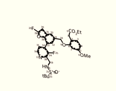 CCOC(=O)Cc1ccc(OC)cc1OCc1cc(-c2ccnc(CN[S@+]([O-])C(C)(C)C)c2F)c2oc(F)cc2c1